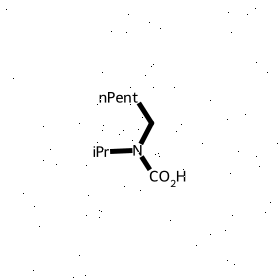 CCCCCCN(C(=O)O)C(C)C